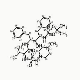 CC(C)[C@H](NS(=O)(=O)NN1CCN(C)CC1)C(=O)NC(Cc1ccccc1)C(O)C(Cc1ccccc1)NC(=O)OC(C)(C)C